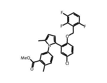 COC(=O)c1cc(-n2c(C)ccc2-c2cc(Cl)ccc2OCc2c(F)ccc(F)c2F)ccc1C